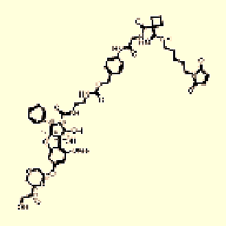 COc1cc(O[C@H]2COC[C@H]([C@H](O)CO)O2)cc2c1[C@]1(O)[C@H](O)[C@H](C(=O)NCCNC(=O)OCc3ccc(NC(=O)CNC(=O)C4(C(=O)NCCCCCN5C(=O)C=CC5=O)CCC4)cc3)[C@@H](c3ccccc3)[C@]1(C)O2